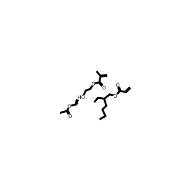 C=C(C)C(=O)OCCO.C=CC(=O)OCC(CC)CCCC.C=COC(C)=O